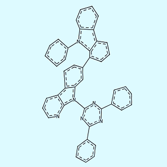 c1ccc(-c2nc(-c3ccccc3)nc(-n3c4cc(-c5cccc6c7ccccc7n(-c7ccccc7)c56)ccc4c4cccnc43)n2)cc1